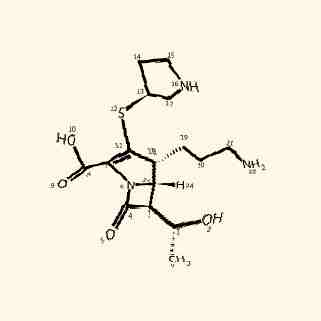 C[C@@H](O)[C@H]1C(=O)N2C(C(=O)O)=C(S[C@H]3CCNC3)[C@H](CCCN)[C@H]12